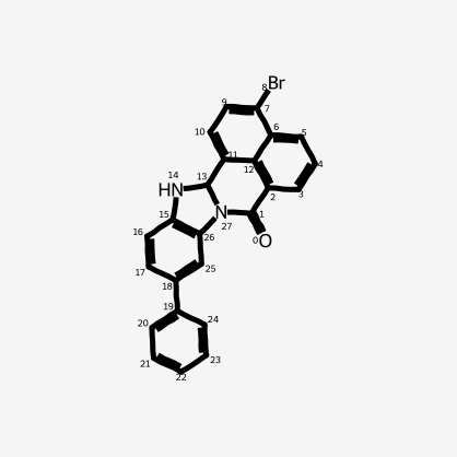 O=C1c2cccc3c(Br)ccc(c23)C2Nc3ccc(-c4ccccc4)cc3N12